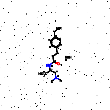 CC(C)Cc1ccc(CCC(=O)N[C@@H](CN(C)C)C(=O)O)cc1.[NaH]